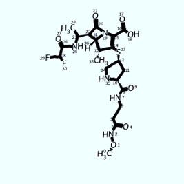 CONC(=O)CCNC(=O)[C@@H]1C[C@H](SC2=C(C(=O)O)N3C(=O)[C@H](C(C)NC(=O)C(F)F)[C@H]3[C@H]2C)CN1